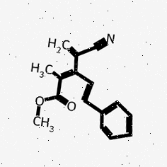 C=C(C#N)C(C=Cc1ccccc1)=C(C)C(=O)OC